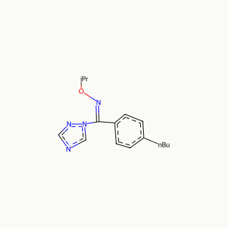 CCCCc1ccc(C(=NOC(C)C)n2cncn2)cc1